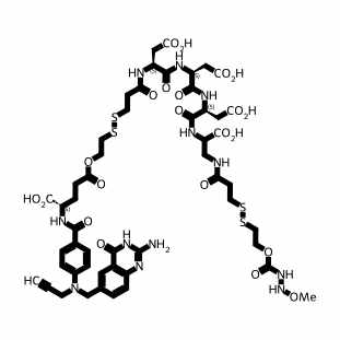 C#CCN(Cc1ccc2nc(N)[nH]c(=O)c2c1)c1ccc(C(=O)N[C@@H](CCC(=O)OCCSSCCC(=O)N[C@@H](CC(=O)O)C(=O)N[C@@H](CC(=O)O)C(=O)N[C@@H](CC(=O)O)C(=O)NC(CNC(=O)CCSSCCOC(=O)NNOC)C(=O)O)C(=O)O)cc1